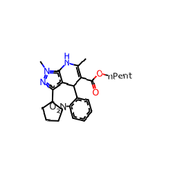 CCCCCOC(=O)C1=C(C)Nc2c(c(C3CCCC3)nn2C)C1c1ccccc1[N+](=O)[O-]